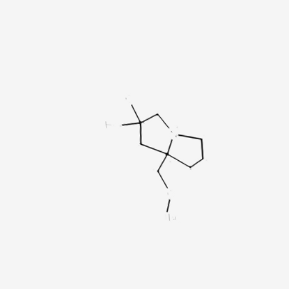 CC1(O)CN2CCCC2(COC(C)(C)C)C1